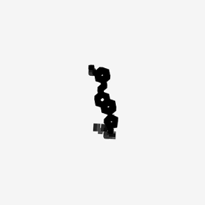 COc1cccc(CCC2CCc3cc([C@H]4CC[C@@](N)(CO)C4)ccc3C2)c1